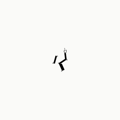 C=CCCl.CC